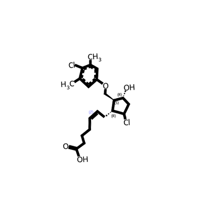 Cc1cc(OC[C@H]2[C@H](O)CC(Cl)[C@@H]2C/C=C\CCCC(=O)O)cc(C)c1Cl